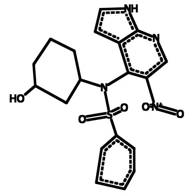 O=[N+]([O-])c1cnc2[nH]ccc2c1N(C1CCCC(O)C1)S(=O)(=O)c1ccccc1